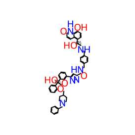 Cn1nc(C(=O)NCc2ccc(CNC[C@H](O)c3ccc(O)c4[nH]c(=O)ccc34)cc2)cc1-c1cccc([C@](O)(C(=O)OCC2CCN(Cc3ccccc3)CC2)c2ccccc2)c1